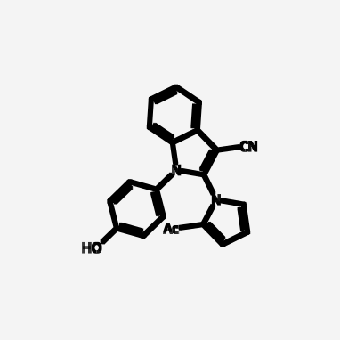 CC(=O)c1cccn1-c1c(C#N)c2ccccc2n1-c1ccc(O)cc1